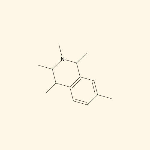 Cc1ccc2c(c1)C(C)N(C)C(C)C2C